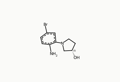 Nc1ccc(Br)cc1N1CC[C@H](O)C1